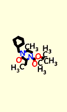 CCC1C(=O)N(Cc2ccccc2)C(C)CN1C(=O)OC(C)(C)C